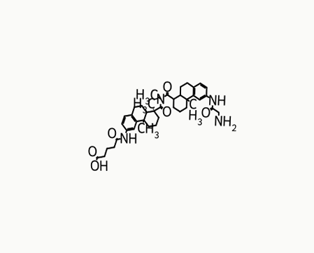 CN(C(=O)C1CCCC2(C)c3cc(NC(=O)CN)ccc3CCC12)C(=O)[C@@]1(C)CCCC2(C)c3cc(NC(=O)CCCC(=O)O)ccc3CCC21